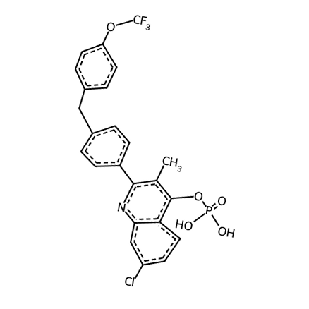 Cc1c(-c2ccc(Cc3ccc(OC(F)(F)F)cc3)cc2)nc2cc(Cl)ccc2c1OP(=O)(O)O